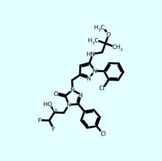 COC(C)(C)CNc1cc(Cn2nc(-c3ccc(Cl)cc3)n(C[C@H](O)C(F)F)c2=O)nn1-c1ccccc1Cl